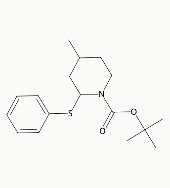 CC1CCN(C(=O)OC(C)(C)C)C(Sc2ccccc2)C1